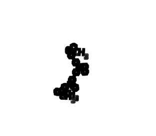 CC12CC=CC=C1Oc1ccc(-c3ccc(N(c4ccc(-c5ccc6c(c5)c5ccccc5n6-c5ccc6c(c5)C(C)(C)c5ccccc5-6)cc4)c4cccc5ccccc45)cc3)cc12